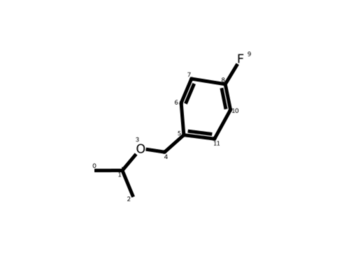 C[C](C)OCc1ccc(F)cc1